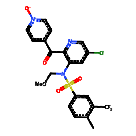 COCN(c1cc(Cl)cnc1C(=O)c1cc[n+]([O-])cc1)S(=O)(=O)c1ccc(C)c(C(F)(F)F)c1